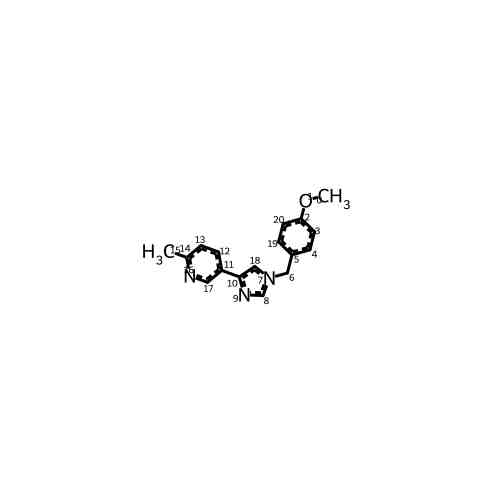 COc1ccc(Cn2cnc(-c3ccc(C)nc3)c2)cc1